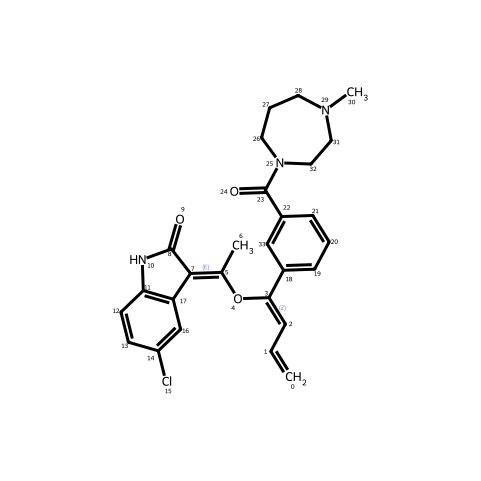 C=C/C=C(\O/C(C)=C1/C(=O)Nc2ccc(Cl)cc21)c1cccc(C(=O)N2CCCN(C)CC2)c1